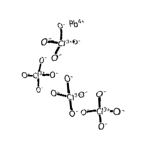 [O-][Cl+3]([O-])([O-])[O-].[O-][Cl+3]([O-])([O-])[O-].[O-][Cl+3]([O-])([O-])[O-].[O-][Cl+3]([O-])([O-])[O-].[Pb+4]